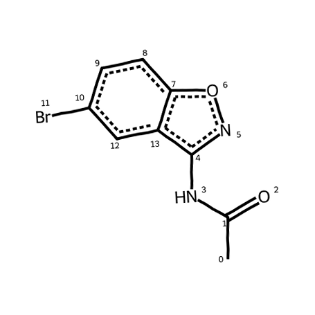 CC(=O)Nc1noc2ccc(Br)cc12